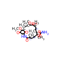 COC1=C2CC(C)C[C@H](OC)C(O)[C@@H](C)/C=C(\C)[C@H](OC(N)=O)[C@@H](OC)/C=C\C=C(/C)C(=O)NC(=CC1=O)C2=O